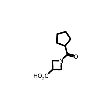 O=C(O)C1CN(C(=O)C2CCCC2)C1